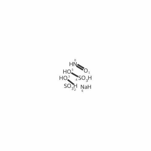 N=O.O=S(=O)(O)O.O=S(=O)(O)O.[NaH]